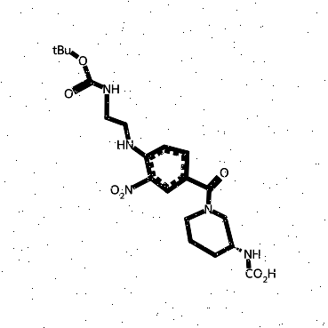 CC(C)(C)OC(=O)NCCNc1ccc(C(=O)N2CCC[C@@H](NC(=O)O)C2)cc1[N+](=O)[O-]